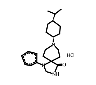 CC(C)[C@H]1CC[C@@H](N2CCC3(CC2)C(=O)NCN3c2ccccc2)CC1.Cl